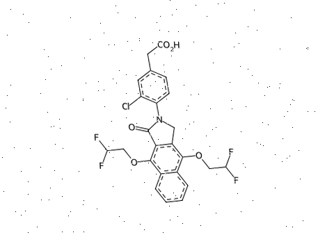 O=C(O)Cc1ccc(N2Cc3c(c(OCC(F)F)c4ccccc4c3OCC(F)F)C2=O)c(Cl)c1